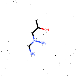 CC(O)CN(N)CN